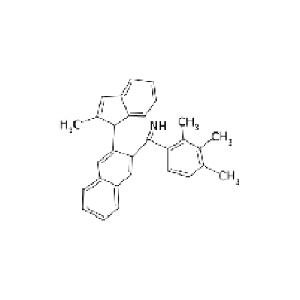 CC1=Cc2ccccc2C1c1cc2ccccc2cc1C(=N)c1ccc(C)c(C)c1C